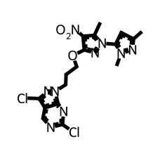 Cc1cc(-n2nc(OCCCn3nc(Cl)c4cnc(Cl)nc43)c([N+](=O)[O-])c2C)n(C)n1